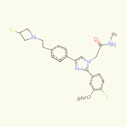 COc1cc(-c2nc(-c3ccc(CCN4CC(F)C4)cc3)cn2CC(=O)NC(C)C)ccc1F